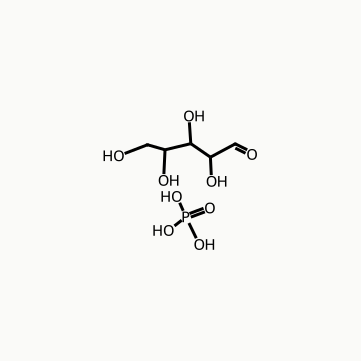 O=CC(O)C(O)C(O)CO.O=P(O)(O)O